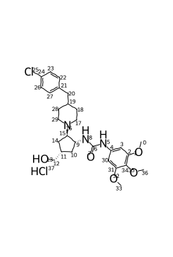 COc1cc(NC(=O)N[C@@H]2C[C@H](CO)C[C@H]2N2CCC(Cc3ccc(Cl)cc3)CC2)cc(OC)c1OC.Cl